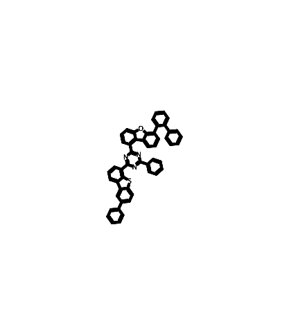 c1ccc(-c2ccc3sc4c(-c5nc(-c6ccccc6)nc(-c6cccc7oc8c(-c9ccccc9-c9ccccc9)cccc8c67)n5)cccc4c3c2)cc1